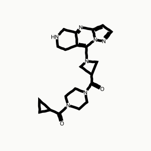 O=C(C1CC1)N1CCN(C(=O)C2CN(c3c4c(nc5ccnn35)CNCC4)C2)CC1